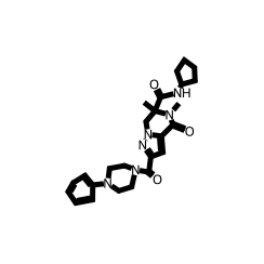 CN1C(=O)c2cc(C(=O)N3CCN(c4ccccc4)CC3)nn2CC1(C)C(=O)NC1CCCC1